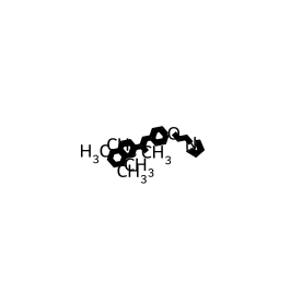 CC(=Cc1ccc(OCCn2cccc2)cc1)c1ccc2c(c1)C(C)(C)CCC2(C)C